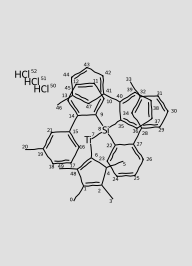 CC1=C(C)C(C)[C]([Ti][Si](c2ccccc2-c2cccc(C)c2)(c2ccccc2-c2cccc(C)c2)c2ccccc2-c2cccc(C)c2)=C1C.Cl.Cl.Cl